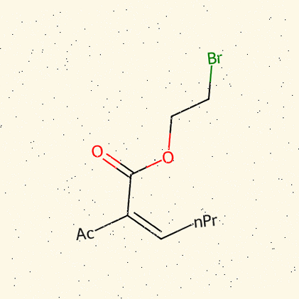 CCCC=C(C(C)=O)C(=O)OCCBr